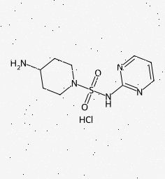 Cl.NC1CCN(S(=O)(=O)Nc2ncccn2)CC1